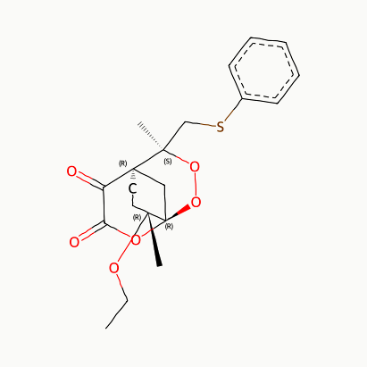 CCO[C@]1(C)CC[C@@]23C[C@]1(OO[C@]2(C)CSc1ccccc1)OC(=O)C3=O